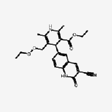 CCOOCC1=C(C)NC(C)=C(C(=O)OCC)C1c1ccc2[nH]c(=O)c(C#N)cc2c1